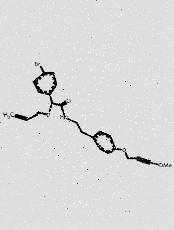 C=CCOC(C(=O)NCCc1ccc(OCC#COC)cc1)c1ccc(Br)cc1